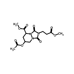 COC(=O)CCn1c(=O)n2n(c1=O)C(C(=O)OC)CC(OC(C)=O)C2